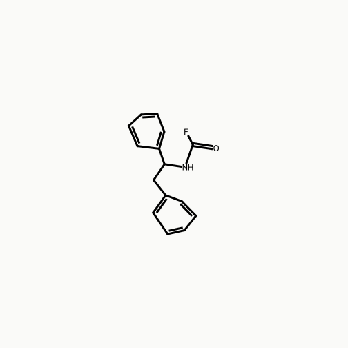 O=C(F)NC(Cc1ccccc1)c1ccccc1